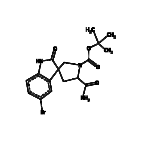 CC(C)(C)OC(=O)N1CC2(CC1C(N)=O)C(=O)Nc1ccc(Br)cc12